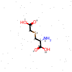 N[C@@H](CSCC(=O)O)C(=O)O